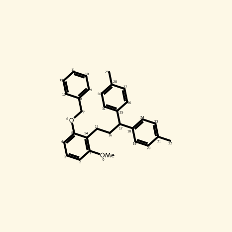 COc1c[c]cc(OCc2ccccc2)c1CCC(c1ccc(C)cc1)c1ccc(C)cc1